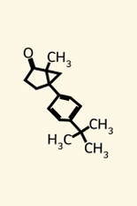 CC(C)(C)c1ccc(C23CCC(=O)C2(C)C3)cc1